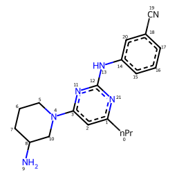 CCCc1cc(N2CCCC(N)C2)nc(Nc2cccc(C#N)c2)n1